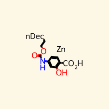 CCCCCCCCCCCCOC(=O)Nc1ccc(C(=O)O)c(O)c1.[Zn]